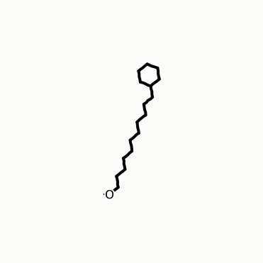 [O]CCCCCCCCCCCC1CCCCC1